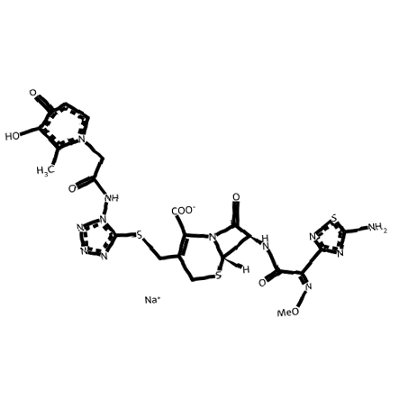 CO/N=C(\C(=O)N[C@@H]1C(=O)N2C(C(=O)[O-])=C(CSc3nnnn3NC(=O)Cn3ccc(=O)c(O)c3C)CS[C@@H]12)c1nsc(N)n1.[Na+]